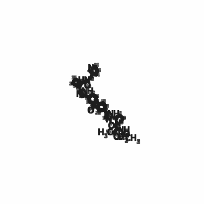 COC(=O)N[C@H](C(=O)N1CCC[C@H]1c1ncc(-c2ccc3c(c2)C(=O)c2cc(-c4cnc([C@@H]5C6CCC(C6)C5C(=O)NCc5cccnc5)[nH]4)ccc2-3)[nH]1)C(C)C